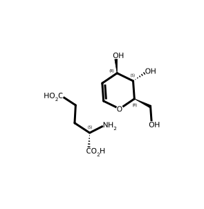 N[C@@H](CCC(=O)O)C(=O)O.OC[C@H]1OC=C[C@@H](O)[C@@H]1O